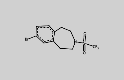 O=S(=O)(N1CCc2ccc(Br)cc2CC1)C(F)(F)F